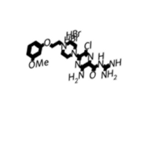 Br.Br.COc1cccc(OCCN2CCN(c3nc(N)c(C(=O)NC(=N)N)nc3Cl)CC2)c1